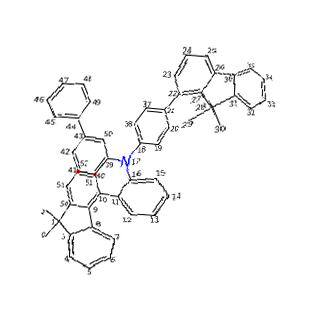 CC1(C)c2ccccc2-c2c(-c3ccccc3N(c3ccc(-c4cccc5c4C(C)(C)c4ccccc4-5)cc3)c3cccc(-c4ccccc4)c3)cccc21